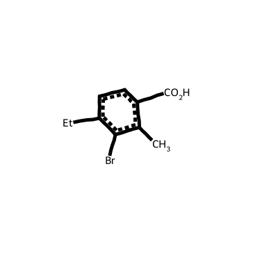 CCc1ccc(C(=O)O)c(C)c1Br